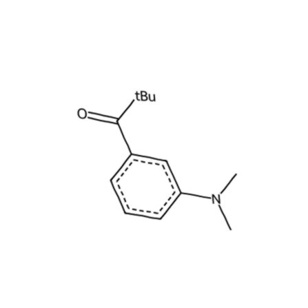 CN(C)c1cccc(C(=O)C(C)(C)C)c1